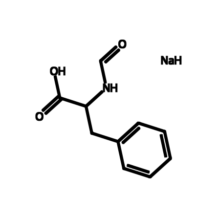 O=CNC(Cc1ccccc1)C(=O)O.[NaH]